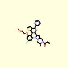 C=CC(=O)N1Cc2cc(-c3nc(-c4cnccn4)c4ccsc4c3-c3c(F)cc(F)cc3OCCOC)nn2CC1C